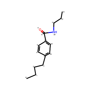 CCCCc1ccc(C(=O)NCCC)cc1